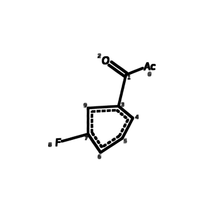 CC(=O)C(=O)c1cccc(F)c1